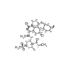 C=CC(=O)N1C(I)CN(S(C)(=O)=O)CC1CN(C)c1nc(=O)n2c3c(c(-c4ccc(F)cc4F)c(Cl)cc13)SCC2